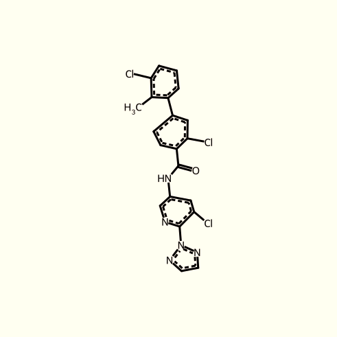 Cc1c(Cl)cccc1-c1ccc(C(=O)Nc2cnc(-n3nccn3)c(Cl)c2)c(Cl)c1